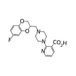 O=C(O)c1cccnc1N1CCN(CC2COc3ccc(F)cc3O2)CC1